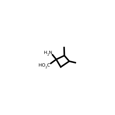 CC1CC(N)(C(=O)O)C1C